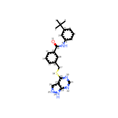 CC(C)(C)c1cccc(NC(=O)c2cccc(CSc3ncnc4[nH]ncc34)c2)c1